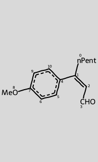 CCCCC/C(=C/C=O)c1ccc(OC)cc1